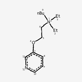 CCCC[N+](CC)(CC)CCOc1cccnc1